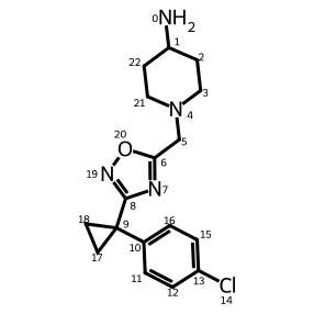 NC1CCN(Cc2nc(C3(c4ccc(Cl)cc4)CC3)no2)CC1